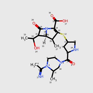 CC(=N)N1CCN(C(=O)C2CC(SC3=C(C(=O)O)N4C(=O)C(C(C)O)[C@@H]4C3C)CN2)CC1C